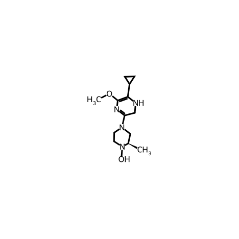 COC1=C(C2CC2)NCC(N2CCN(O)[C@H](C)C2)=N1